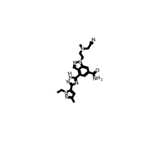 CCn1nc(C)cc1-c1n[nH]c(-c2cc(C(N)=O)cc3c2cnn3CCN(C)CC#N)n1